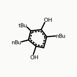 CCCCc1cc(O)c(CCCC)c(C(C)(C)C)c1O